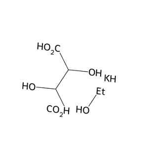 CCO.O=C(O)C(O)C(O)C(=O)O.[KH]